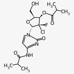 CC(C)C(=O)Nc1ccn([C@@H]2O[C@@H](CO)[C@@H](OC(=O)C(C)C)[C@]2(F)Cl)c(=O)n1